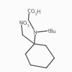 CC(C)(C)N(CC(=O)O)C1(C[N+](=O)[O-])CCCCC1